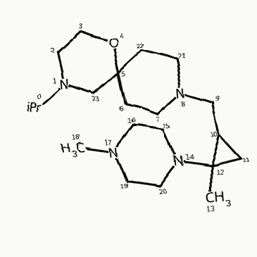 CC(C)N1CCOC2(CCN(CC3CC3(C)N3CCN(C)CC3)CC2)C1